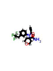 C#CC(=O)N(c1cccc(CC(F)(F)F)c1)C1(C(N)=O)CCOCC1